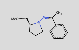 COC[C@@H]1CCCN1/N=C(/C)c1ccccc1